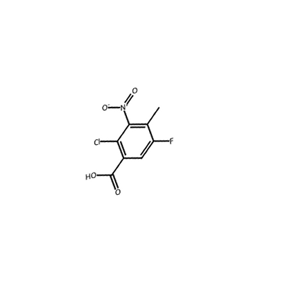 Cc1c(F)cc(C(=O)O)c(Cl)c1[N+](=O)[O-]